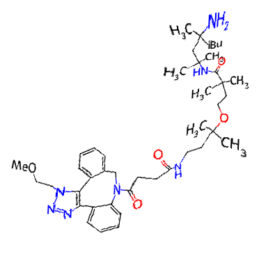 CCC(C)C(C)(N)CC(C)(C)NC(=O)C(C)(C)CCOC(C)(C)CCNC(=O)CCC(=O)N1Cc2ccccc2-c2c(nnn2CCOC)-c2ccccc21